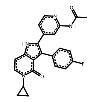 CC(=O)Nc1cc(-c2[nH]c3ccn(C4CC4)c(=O)c3c2-c2ccc(F)cc2)ccn1